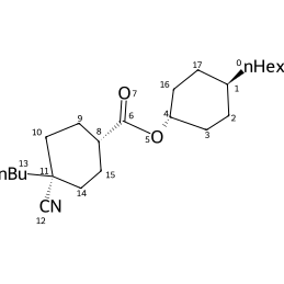 CCCCCC[C@H]1CC[C@H](OC(=O)[C@H]2CC[C@](C#N)(CCCC)CC2)CC1